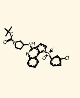 CC(C)(C)OC(=O)N1CCC(Nc2nc3ccccc3c3c2ccn3S(=O)(=O)c2cccc(Cl)c2)C1